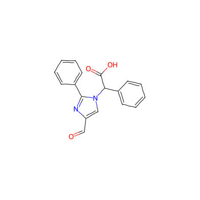 O=Cc1cn(C(C(=O)O)c2ccccc2)c(-c2ccccc2)n1